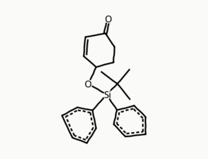 CC(C)(C)[Si](OC1C=CC(=O)CC1)(c1ccccc1)c1ccccc1